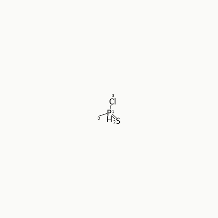 C[PH](=S)Cl